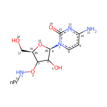 CCCNOC1C(O)[C@H](n2ccc(N)nc2=O)O[C@@H]1CO